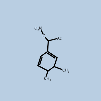 CC(=O)C(C[N+](=O)[O-])C1=CC(C)C(C)C=C1